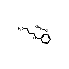 CCCCPc1ccccc1.[Cl][Pd][Cl]